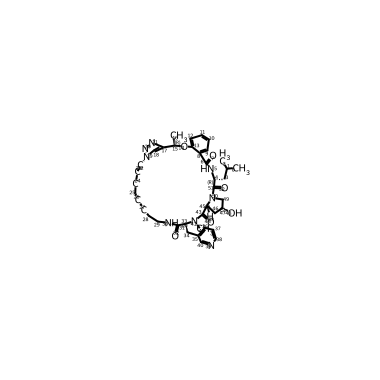 CC(C)C[C@H]1NC(=O)c2ccccc2O[C@H](C)c2cn(nn2)CCCCCCCCNC(=O)[C@H](Cc2cccnc2)N(C)C(=O)[C@H]2C[C@H](O)CN2C1=O